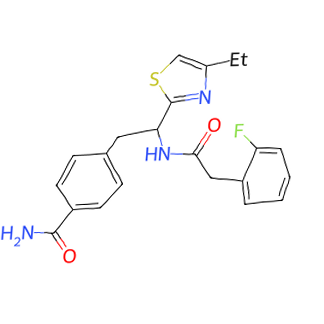 CCc1csc(C(Cc2ccc(C(N)=O)cc2)NC(=O)Cc2ccccc2F)n1